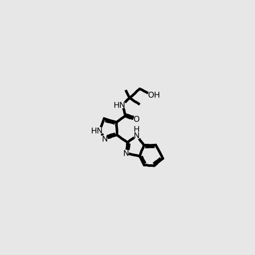 CC(C)(CO)NC(=O)c1c[nH]nc1-c1nc2ccccc2[nH]1